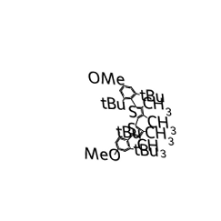 COc1cc(C(C)(C)C)c(-c2sc(-c3sc(-c4c(C(C)(C)C)cc(OC)cc4C(C)(C)C)c(C)c3C)c(C)c2C)c(C(C)(C)C)c1